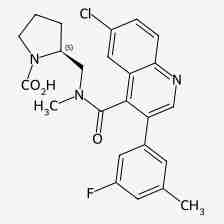 Cc1cc(F)cc(-c2cnc3ccc(Cl)cc3c2C(=O)N(C)C[C@@H]2CCCN2C(=O)O)c1